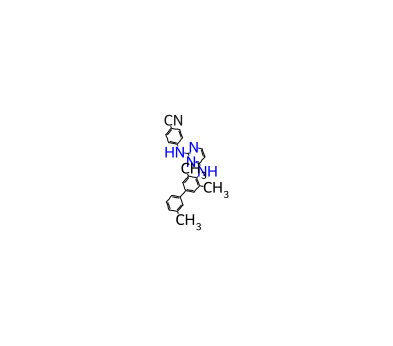 Cc1cccc(-c2cc(C)c(Nc3ccnc(Nc4ccc(C#N)cc4)n3)c(C)c2)c1